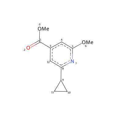 COC(=O)c1cc(OC)nc(C2CC2)c1